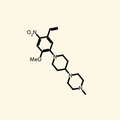 C=Cc1cc(N2CCC(N3CCN(C)CC3)CC2)c(OC)cc1[N+](=O)[O-]